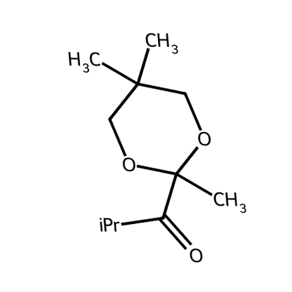 CC(C)C(=O)C1(C)OCC(C)(C)CO1